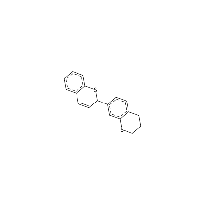 C1=CC(c2ccc3c(c2)SCCC3)Sc2ccccc21